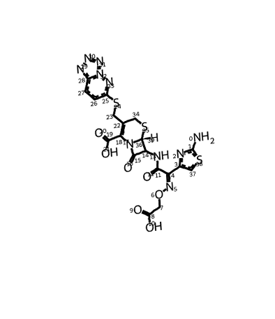 Nc1nc(/C(=N/OCC(=O)O)C(=O)NC2C(=O)N3C(C(=O)O)=C(CSc4ccc5nnnn5n4)CS[C@H]23)cs1